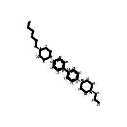 CCCCCC[C@H]1CC[C@H](c2ccc(-c3ccc([C@H]4CC[C@H](CCC)CC4)cc3)cc2)CC1